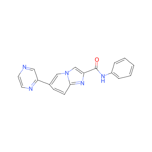 O=C(Nc1ccccc1)c1cn2cc(-c3cnccn3)ccc2n1